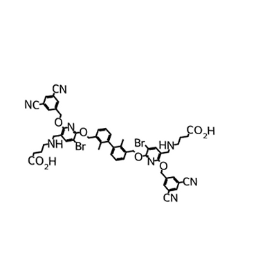 Cc1c(COc2nc(OCc3cc(C#N)cc(C#N)c3)c(CNCCCC(=O)O)cc2Br)cccc1-c1cccc(COc2nc(OCc3cc(C#N)cc(C#N)c3)c(CNCCCC(=O)O)cc2Br)c1C